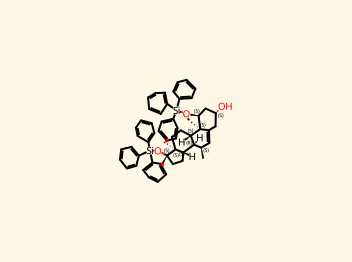 C[C@@H]1C=C2C[C@@H](O)C[C@H](C)[C@]2(CO[Si](c2ccccc2)(c2ccccc2)c2ccccc2)[C@H]2CC[C@@]3(C)[C@@H](CC[C@]3(C)O[Si](c3ccccc3)(c3ccccc3)c3ccccc3)[C@H]12